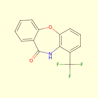 O=C1Nc2c(cccc2C(F)(F)F)Oc2ccccc21